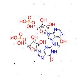 Nc1nc2c(ncn2[C@@H]2O[C@H](COP(=O)(O)O)[C@@H](O)[C@H]2O)c(=O)[nH]1.O=P(O)(O)OC[C@H]1O[C@@H](n2cnc3c(O)ncnc32)[C@H](O)[C@@H]1O